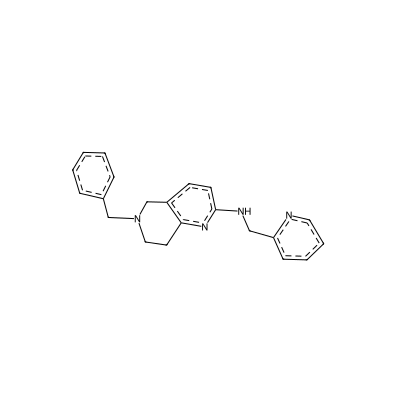 c1ccc(CN2CCc3nc(NCc4ccccn4)ccc3C2)cc1